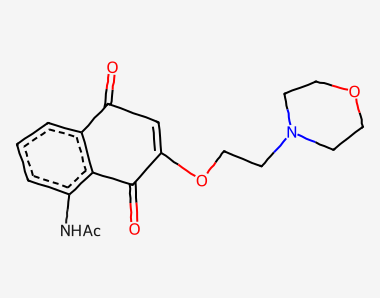 CC(=O)Nc1cccc2c1C(=O)C(OCCN1CCOCC1)=CC2=O